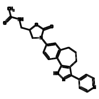 CC(=O)NCC1CN(c2ccc3c(c2)CCCc2c(-c4ccncc4)n[nH]c2-3)C(=O)O1